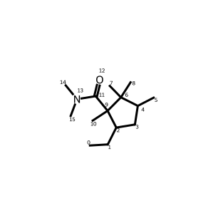 CCC1CC(C)C(C)(C)C1(C)C(=O)N(C)C